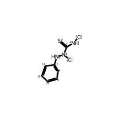 S=C(NCl)N(Cl)Nc1ccccc1